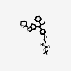 CCC(=C(c1ccc(OCCNC(=O)OC(C)(C)C)cc1)c1ccc2c(cnn2C2CCCCO2)c1)c1ccccc1